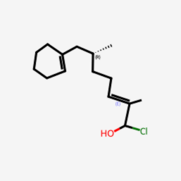 C/C(=C\CC[C@@H](C)CC1=CCCCC1)C(O)Cl